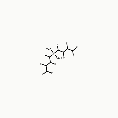 C[O][Sn]([O]C)([CH](F)C(F)C(F)C(F)F)[CH](F)C(F)C(F)C(F)F